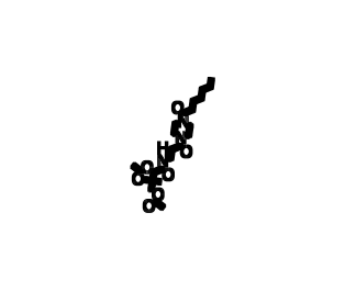 CCCCCCC(=O)N1CCN(C(=O)CCNC(=O)C(OC(C)=O)C(C)(C)COC(C)=O)CC1